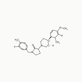 COC1=C(F)C(C)C([C@@H]2CCN(C3CCN(Cc4ccc(C)c(F)c4)C3=O)C[C@H]2F)C=C1